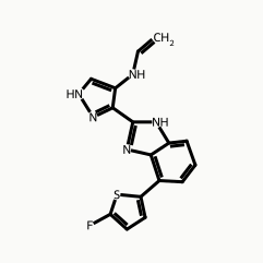 C=CNc1c[nH]nc1-c1nc2c(-c3ccc(F)s3)cccc2[nH]1